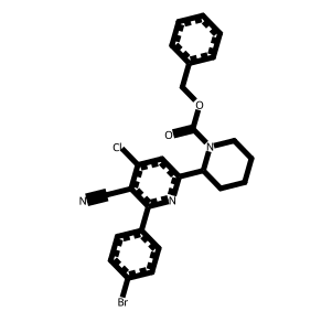 N#Cc1c(Cl)cc(C2CCCCN2C(=O)OCc2ccccc2)nc1-c1ccc(Br)cc1